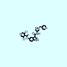 CC(Oc1ccc2[nH]nc(C(=O)Nc3cnn(Cc4ccncc4)c3)c2c1)c1c(Cl)cncc1Cl